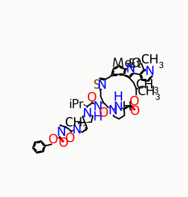 CCn1c(-c2cccnc2[C@H](C)OC)c2c3cc(ccc31)-c1csc(n1)C[C@H](NC(=O)[C@H](C(C)C)N1CC[C@]3(CCN(C(=O)[C@@]4(C)CN4C(=O)OCc4ccccc4)C3)C1)C(=O)N1CCC[C@H](N1)C(=O)OCC(C)(C)C2